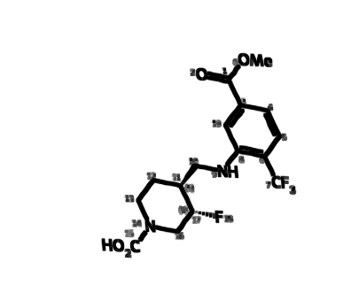 COC(=O)c1ccc(C(F)(F)F)c(NC[C@@H]2CCN(C(=O)O)C[C@H]2F)c1